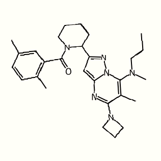 CCCN(C)c1c(C)c(N2CCC2)nc2cc(C3CCCCN3C(=O)c3cc(C)ccc3C)nn12